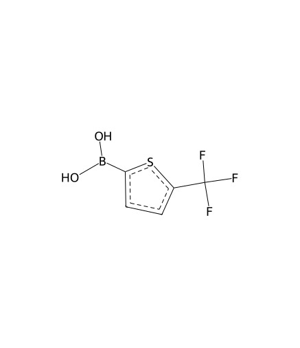 OB(O)c1ccc(C(F)(F)F)s1